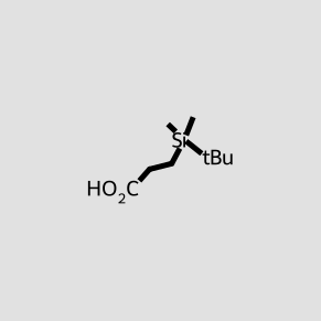 CC(C)(C)[Si](C)(C)CCC(=O)O